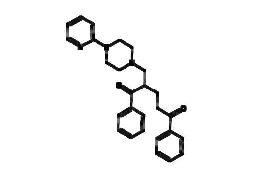 O=C(CCC(CN1CCN(c2ccccn2)CC1)C(=O)c1ccccc1)c1ccccc1